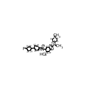 CN1CCC(N(C)c2nc3cc(NC(=O)c4ccc(-c5ccc(F)cc5)cc4)ccc3o2)CC1.Cl